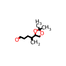 C=C(CCC=O)C1COC(C)(C)O1